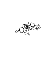 CCCC1(OC(C)=O)CC[C@H]2[C@@H]3CCC4CC(=O)CC(C)[C@]4(C)[C@@H]3CC[C@@]21C